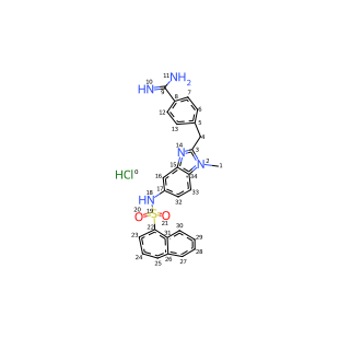 Cl.Cn1c(Cc2ccc(C(=N)N)cc2)nc2cc(NS(=O)(=O)c3cccc4ccccc34)ccc21